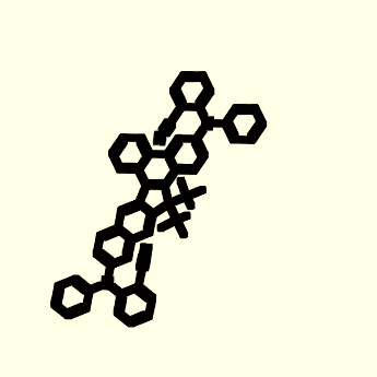 CC(C)(C)C1(C(C)(C)C)c2cc3cc(N(c4ccccc4)c4ccccc4C#N)ccc3cc2-c2c1c1ccc(N(c3ccccc3)c3ccccc3C#N)cc1c1ccccc21